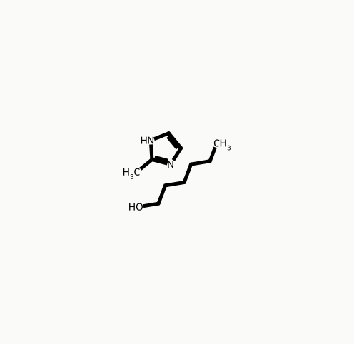 CCCCCCO.Cc1ncc[nH]1